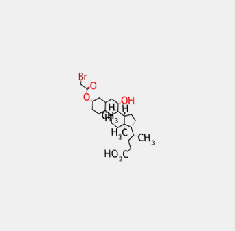 C[C@H](CCC(=O)O)[C@H]1CC[C@H]2[C@@H]3[C@@H](O)CC4C[C@@H](OC(=O)CBr)CC[C@]4(C)[C@H]3CC[C@]12C